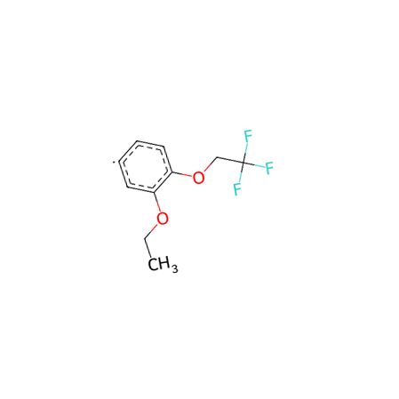 CCOc1c[c]ccc1OCC(F)(F)F